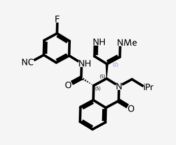 CN/C=C(\C=N)[C@@H]1[C@@H](C(=O)Nc2cc(F)cc(C#N)c2)c2ccccc2C(=O)N1CC(C)C